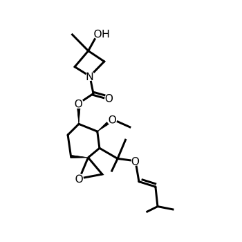 CO[C@H]1C(C(C)(C)O/C=C/C(C)C)[C@]2(CC[C@H]1OC(=O)N1CC(C)(O)C1)CO2